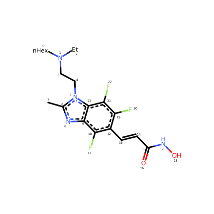 CCCCCCN(CC)CCn1c(C)nc2c(F)c(C=CC(=O)NO)c(F)c(F)c21